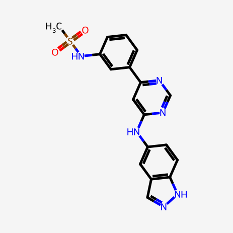 CS(=O)(=O)Nc1cccc(-c2cc(Nc3ccc4[nH]ncc4c3)ncn2)c1